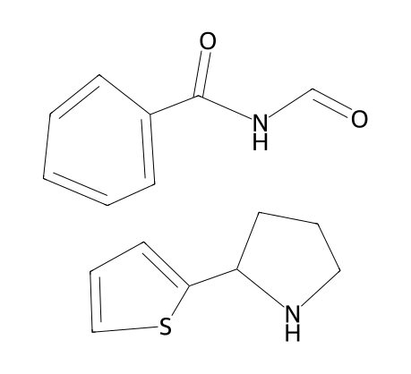 O=CNC(=O)c1ccccc1.c1csc(C2CCCN2)c1